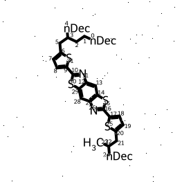 CCCCCCCCCCCCC(CCCCCCCCCC)Cc1ccc(-c2nc3cc4sc(-c5ccc(CC(C)CCCCCCCCCC)s5)nc4cc3s2)s1